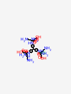 Cl.NCCCC[C@](N)(C(=O)CC(=O)O)C(=O)Nc1ccc(C(c2ccc(NC(=O)[C@](N)(CCCCN)C(=O)CC(=O)O)cc2)c2ccc(NC(=O)[C@](N)(CCCCN)C(=O)CC(=O)O)cc2)cc1